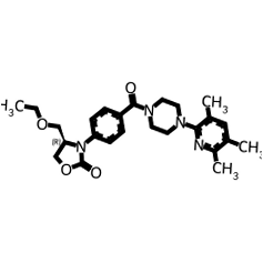 CCOC[C@@H]1COC(=O)N1c1ccc(C(=O)N2CCN(c3nc(C)c(C)cc3C)CC2)cc1